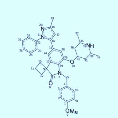 COc1ccc(CN2C(=O)C3(CCC3)c3cc(-c4cc(C)nn4-c4ccccc4)cc(OC4CC(C)NC(C)C4)c32)cc1